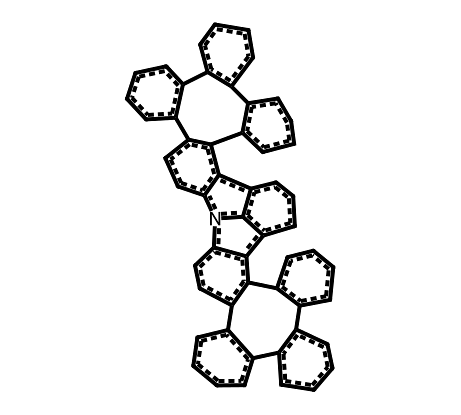 c1ccc2c(c1)-c1ccccc1-c1ccc3c(c1-c1ccccc1-2)c1cccc2c4c5c(ccc4n3c12)-c1ccccc1-c1ccccc1-c1ccccc1-5